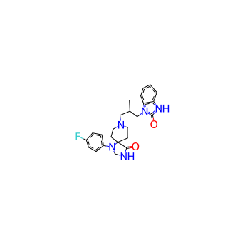 CC(CN1CCC2(CC1)C(=O)NCN2c1ccc(F)cc1)Cn1c(=O)[nH]c2ccccc21